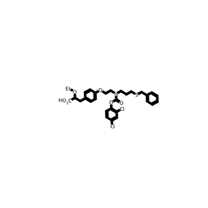 CCOC(Cc1ccc(OCCN(CCCSCc2ccccc2)C(=O)Oc2ccc(Cl)cc2Cl)cc1)C(=O)O